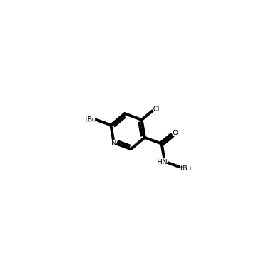 CC(C)(C)NC(=O)c1cnc(C(C)(C)C)cc1Cl